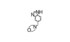 c1nc2cc(CN3CCOCC3)ccc2[nH]1